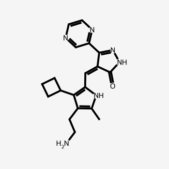 Cc1[nH]c(C=C2C(=O)NN=C2c2cnccn2)c(C2CCC2)c1CCN